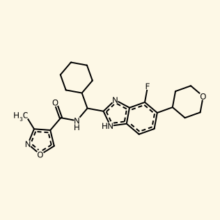 Cc1nocc1C(=O)NC(c1nc2c(F)c(C3CCOCC3)ccc2[nH]1)C1CCCCC1